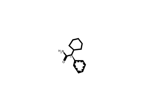 NC(=O)[C@H](c1ccccc1)C1CCCCC1